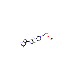 CN(CCNC1CCC[C@H](Nc2nc(-c3c[nH]c4ncc(Cl)cc34)ncc2F)C1)C(=O)OC(C)(C)C